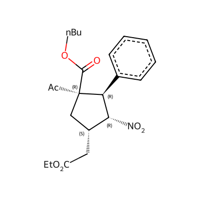 CCCCOC(=O)[C@]1(C(C)=O)C[C@@H](CC(=O)OCC)[C@@H]([N+](=O)[O-])[C@@H]1c1ccccc1